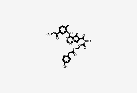 CCCNC(=O)c1ccc(C)c(Nc2ncnn3cc(C(=O)N(CC)C(=O)OCOC(=O)Cc4ccc(O)cc4)c(C)c23)c1